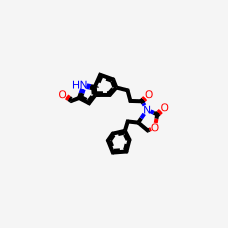 O=Cc1cc2cc(CCC(=O)N3C(=O)OCC3Cc3ccccc3)ccc2[nH]1